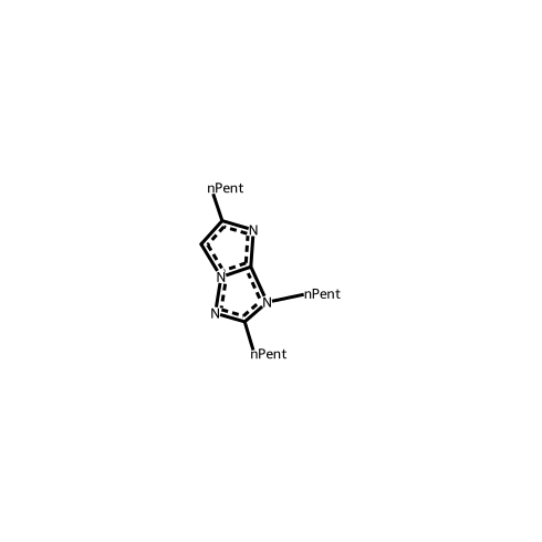 CCCCCc1cn2nc(CCCCC)n(CCCCC)c2n1